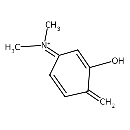 C=C1C=CC(=[N+](C)C)C=C1O